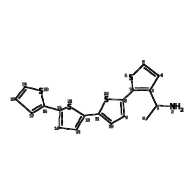 CC(N)c1ccsc1-c1ccc(-c2ccc(-c3cccs3)s2)s1